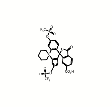 O=C(O)c1ccc2c(c1)C1(OC2=O)c2ccc(OS(=O)(=O)C(F)(F)F)cc2[Si]2(CCCCC2)c2cc(OS(=O)(=O)C(F)(F)F)ccc21